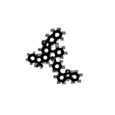 CC1(C)c2ccccc2-c2ccc(N(c3ccc(-c4cccc5c4oc4ccccc45)cc3)c3ccccc3-c3cccc4oc5cc6ccccc6cc5c34)cc21